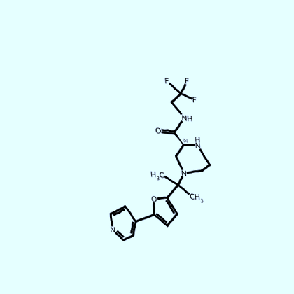 CC(C)(c1ccc(-c2ccncc2)o1)N1CCN[C@H](C(=O)NCC(F)(F)F)C1